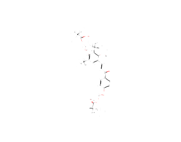 COc1c(/C=C/C(=O)c2ccc(OCOC(=O)C(C)(C)C)cc2)cc(C(C)(C)C)c(OCOC(=O)C(C)(C)C)c1C(C)(C)C